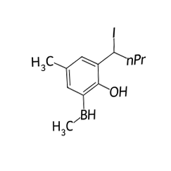 CBc1cc(C)cc(C(I)CCC)c1O